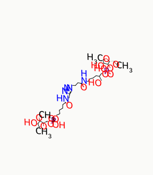 COC[C@H]1O[C@@H](C)[C@@H](O)C1OP(=O)(O)OCC(CO)CCCCNC(=O)CCCn1cc(CNC(=O)CCCCCOP(=O)(O)OC[C@H]2O[C@@H](C)[C@@H](O)C2OC)nn1